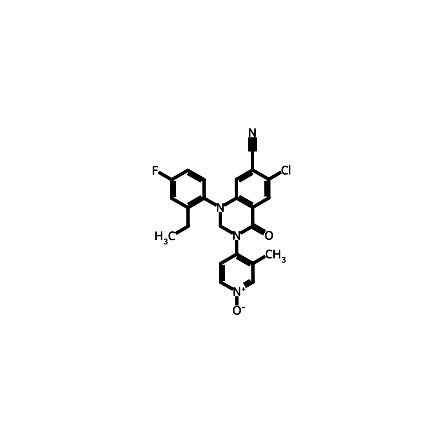 CCc1cc(F)ccc1N1CN(c2cc[n+]([O-])cc2C)C(=O)c2cc(Cl)c(C#N)cc21